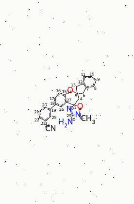 CN1OC2(CC3(Cc4ccccc4C3)Oc3ccc(-c4cccc(C#N)c4)cc32)N=C1N